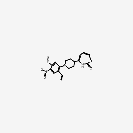 C=Cc1cc([N+](=O)[O-])c(OC)cc1N1CCC(C2=CC=COC(=O)N2)CC1